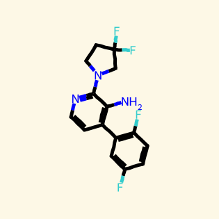 Nc1c(-c2cc(F)ccc2F)ccnc1N1CCC(F)(F)C1